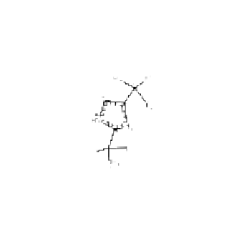 CC(C)(N)c1nc(C(F)(F)F)c[nH]1